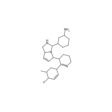 CC1CC(C2=NCCCC2C2C=CC3CNC(C4CCCC(N)C4)N32)C=CC1F